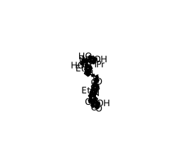 CCc1c2c(nc3ccc(OC(=O)N(C)CCn4ccc5c(CC)c(-n6c(O)nnc6-c6cc(C(C)C)c(O)cc6O)ccc54)cc13)-c1cc3c(c(=O)n1C2)COC(=O)C3O